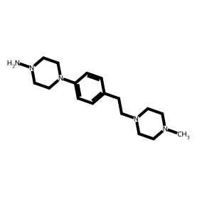 CN1CCN(CCc2ccc(N3CCN(N)CC3)cc2)CC1